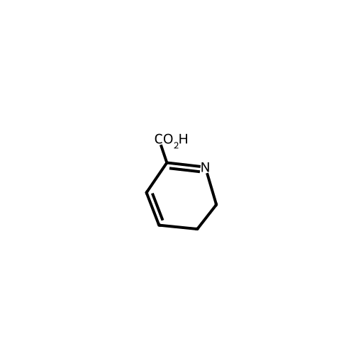 O=C(O)C1=NCCC=C1